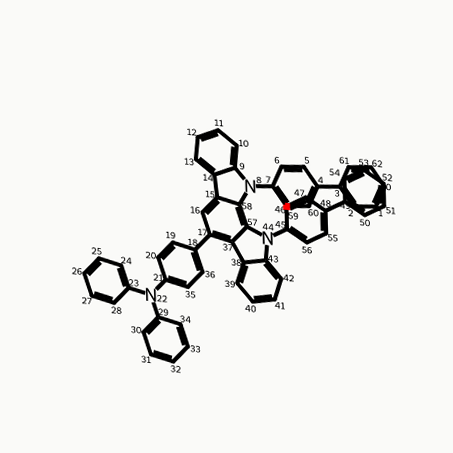 c1ccc(-c2ccc(-n3c4ccccc4c4cc(-c5ccc(N(c6ccccc6)c6ccccc6)cc5)c5c6ccccc6n(-c6ccc(-c7ccccc7)cc6)c5c43)cc2)cc1